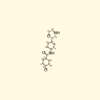 O=C(Nc1ccc(C2CNCCO2)cc1)c1ccc(Cl)cc1